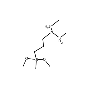 CO[Si](C)(CCCN([SiH2]C)[SiH2]C)OC